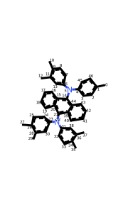 Cc1ccc(N(c2ccc(C)c(C)c2)c2c3ccccc3c(N(c3ccc(C)c(C)c3)c3ccc(C)c(C)c3)c3ccccc23)cc1